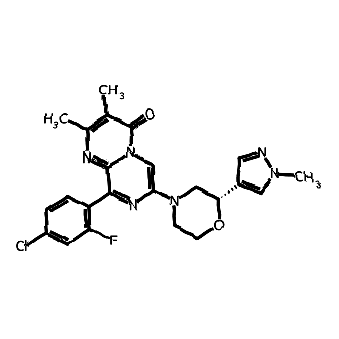 Cc1nc2c(-c3ccc(Cl)cc3F)nc(N3CCO[C@@H](c4cnn(C)c4)C3)cn2c(=O)c1C